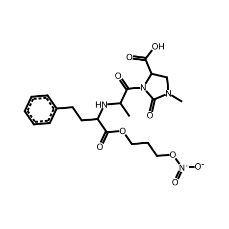 CC(NC(CCc1ccccc1)C(=O)OCCCO[N+](=O)[O-])C(=O)N1C(=O)N(C)CC1C(=O)O